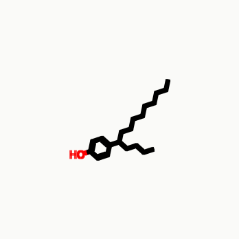 CCCCCCCCCC(CCCC)c1ccc(O)cc1